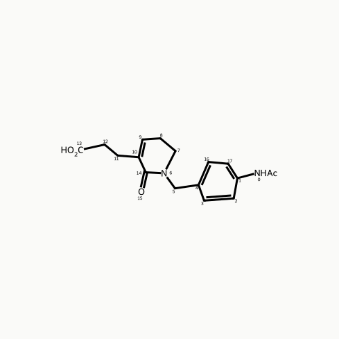 CC(=O)Nc1ccc(CN2CCC=C(CCC(=O)O)C2=O)cc1